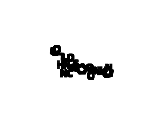 N#Cc1c(NC(=O)C=Cc2ccco2)sc2c1CCC(OC(=O)NCc1cccnc1)C2